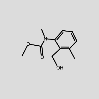 COC(=O)N(C)c1cccc(C)c1CO